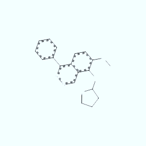 COc1ccc2c(-c3ccccc3)nncc2c1OC1CCCO1